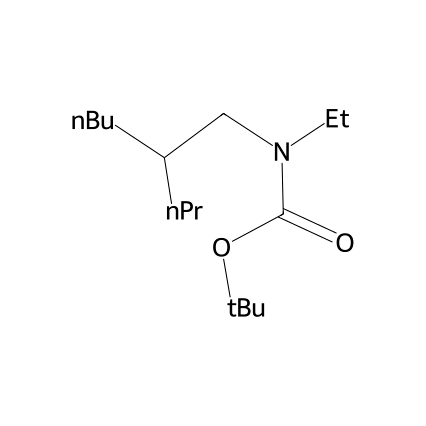 CCCCC(CCC)CN(CC)C(=O)OC(C)(C)C